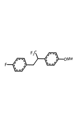 COc1ccc(C(Cc2ccc(F)cc2)C(F)(F)F)cc1